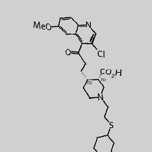 COc1ccc2ncc(Cl)c(C(=O)CC[C@H]3CCN(CCSC4CCCCC4)C[C@H]3C(=O)O)c2c1